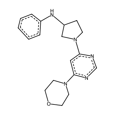 c1ccc(NC2CCN(c3cc(N4CCOCC4)ncn3)C2)cc1